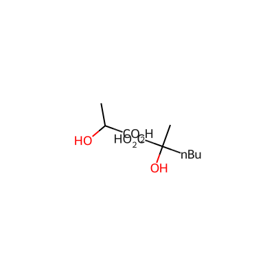 CC(O)C(=O)O.CCCCC(C)(O)C(=O)O